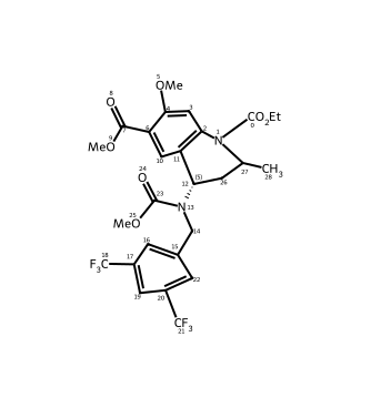 CCOC(=O)N1c2cc(OC)c(C(=O)OC)cc2[C@@H](N(Cc2cc(C(F)(F)F)cc(C(F)(F)F)c2)C(=O)OC)CC1C